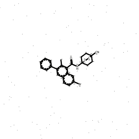 Cc1c(-c2ccccc2)cc2ccc(Br)cc2c1C(=O)NC12CCC(C#N)(CC1)CC2